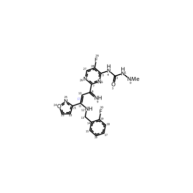 CNNC(=O)Nc1nc(C(=N)/C=C(\NCc2ccccc2F)c2ccon2)ncc1F